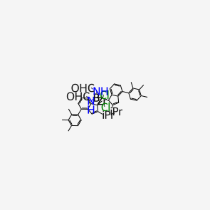 Cc1ccc(-c2cccc3c2C=C(C(C)C)[CH]3[Zr]([Cl])([Cl])([B](NC=O)NC=O)[CH]2C(C(C)C)=Cc3c(-c4ccc(C)c(C)c4C)cccc32)c(C)c1C